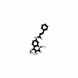 CCCCOc1c(O)c(=O)n(C)c2cc(NC(=O)C=Cc3ccccc3)ccc12